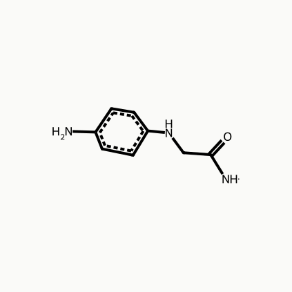 [NH]C(=O)CNc1ccc(N)cc1